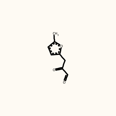 Cc1ccc(CC(=O)C=O)o1